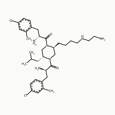 Cc1cc(Cl)ccc1C[C@@H](N)C(=O)N1C[C@H](CCCCNCCN)N(C(=O)[C@H](N)Cc2ccc(Cl)cc2C)C[C@H]1CC(C)C